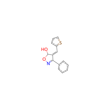 OC1ON=C(c2ccccc2)/C1=C/c1cccs1